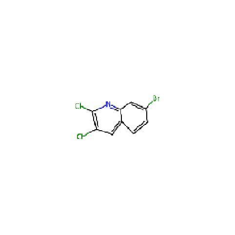 Clc1cc2ccc(Br)cc2nc1Cl